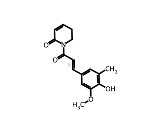 COc1cc(/C=C/C(=O)N2CCC=CC2=O)cc(C)c1O